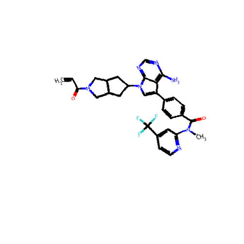 C=CC(=O)N1CC2CC(n3cc(-c4ccc(C(=O)N(C)c5cc(C(F)(F)F)ccn5)cc4)c4c(N)ncnc43)CC2C1